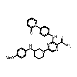 COc1ccc(NC2CCCN(c3cnc(C(N)=O)c(Nc4ccc(-n5ccccc5=O)cc4)n3)C2)cc1